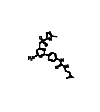 Cc1csc(S(=O)(=O)Cc2cc(N)nc(-c3ccc(NC(=O)NCCN(C)C)cc3)n2)n1